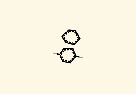 Fc1[c]cc(F)cc1.[c]1ccccc1